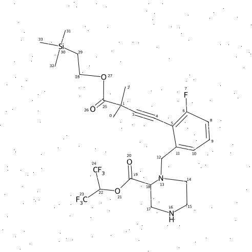 CC(C)(C#Cc1c(F)cccc1CN1CCNCC1C(=O)OC(C(F)(F)F)C(F)(F)F)C(=O)OCC[Si](C)(C)C